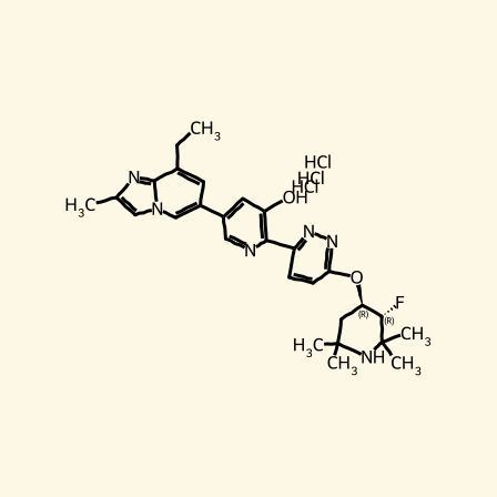 CCc1cc(-c2cnc(-c3ccc(O[C@@H]4CC(C)(C)NC(C)(C)[C@H]4F)nn3)c(O)c2)cn2cc(C)nc12.Cl.Cl.Cl